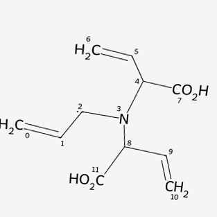 C=C[CH]N(C(C=C)C(=O)O)C(C=C)C(=O)O